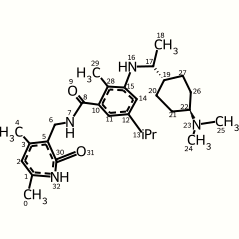 Cc1cc(C)c(CNC(=O)c2cc(C(C)C)cc(NC(C)[C@H]3CC[C@H](N(C)C)CC3)c2C)c(=O)[nH]1